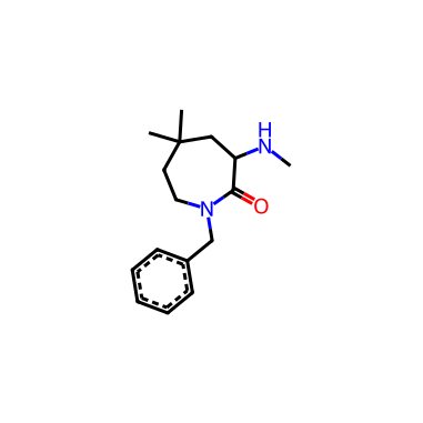 CNC1CC(C)(C)CCN(Cc2ccccc2)C1=O